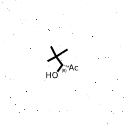 CC(=O)[C@H](O)C(C)(C)C